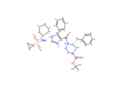 CC(C)(C)OC(=O)N1CCN(C(=O)c2ncn([C@H]3CCCC[C@H]3NS(=O)(=O)C3CC3)c2-c2ccccc2)[C@H](Cc2ccccc2)C1